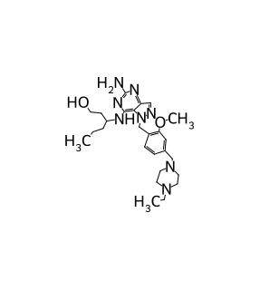 CCCC(CCO)Nc1nc(N)nc2cnn(Cc3ccc(CN4CCN(CC)CC4)cc3OC)c12